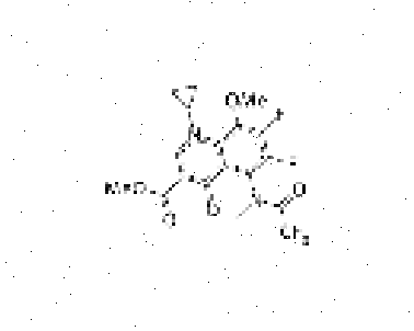 COC(=O)c1cn(C2CC2)c2c(OC)c(F)c(F)c(N(C)C(=O)C(F)(F)F)c2c1=O